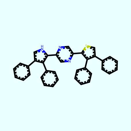 c1ccc(-c2c[nH]c(-c3cnc(-c4scc(-c5ccccc5)c4-c4ccccc4)cn3)c2-c2ccccc2)cc1